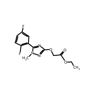 CCOC(=O)COc1nc(-c2cc(F)ccc2F)n(C)n1